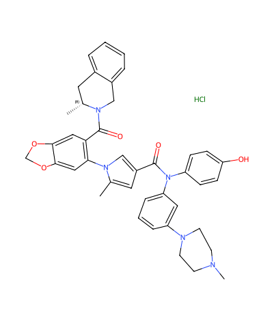 Cc1cc(C(=O)N(c2ccc(O)cc2)c2cccc(N3CCN(C)CC3)c2)cn1-c1cc2c(cc1C(=O)N1Cc3ccccc3C[C@H]1C)OCO2.Cl